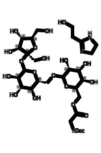 CCCCCCCCCCCC(=O)OC[C@H]1OC(OC[C@H]2OC(O[C@]3(CO)O[C@H](CO)[C@@H](O)[C@@H]3O)[C@H](O)[C@@H](O)[C@@H]2O)[C@H](O)[C@@H](O)[C@H]1O.OCCC1=NCCN1